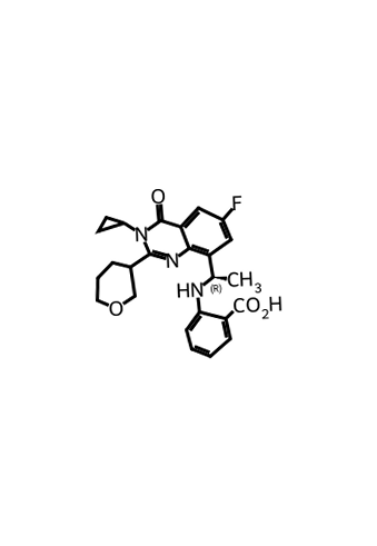 C[C@@H](Nc1ccccc1C(=O)O)c1cc(F)cc2c(=O)n(C3CC3)c(C3CCCOC3)nc12